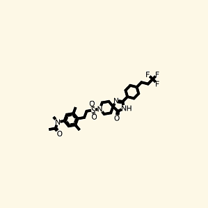 CC(=O)N(C)c1cc(C)c(CCS(=O)(=O)N2CCC3(CC2)N=C(C2CCC(CCC(F)(F)F)CC2)NC3=O)c(C)c1